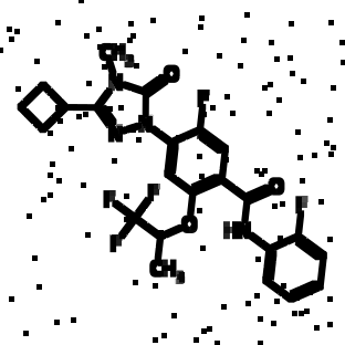 CC(Oc1cc(-n2nc(C3CCC3)n(C)c2=O)c(F)cc1C(=O)Nc1ccccc1F)C(F)(F)F